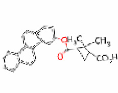 CC1(C)C(C(=O)O)CC1C(=O)Oc1ccc2ccc3c4ccccc4ccc3c2c1